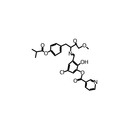 COCC(=O)C(Cc1ccc(OC(=O)C(C)C)cc1)N=Cc1cc(Cl)cc(OC(=O)c2cccnc2)c1O